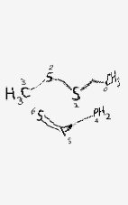 CSSC.PP=S